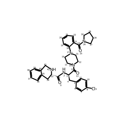 O=C(N[C@H](Cc1ccc(Cl)cc1)C(=O)N1CCN(c2ccccc2C(=O)N2CCCC2)CC1)[C@@H]1Cc2ccccc2CN1